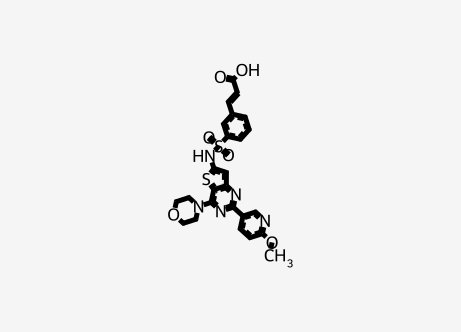 COc1ccc(-c2nc(N3CCOCC3)c3sc(NS(=O)(=O)c4cccc(C=CC(=O)O)c4)cc3n2)cn1